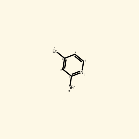 CCCc1cc(CC)ccn1